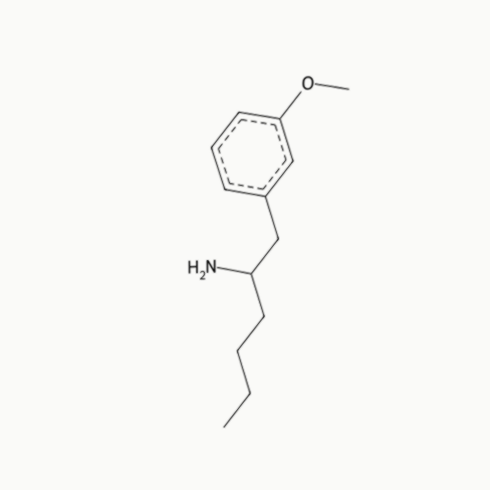 CCCCC(N)Cc1cccc(OC)c1